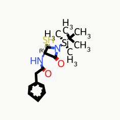 CC(C)(C)[Si](C)(C)N1C(=O)[C@@H](NC(=O)Cc2ccccc2)[C@H]1S